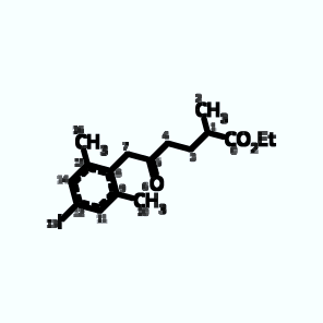 CCOC(=O)C(C)CCC(=O)Cc1c(C)cc(I)cc1C